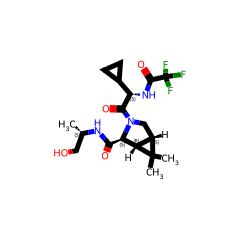 C[C@@H](CO)NC(=O)[C@@H]1[C@@H]2[C@H](CN1C(=O)[C@@H](NC(=O)C(F)(F)F)C1CC1)C2(C)C